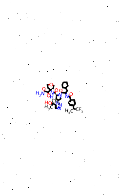 CC(c1ccc(C(=O)/N=C(\CC2CCCCC2)C(=O)N2C[C@@H](n3nncc3C(C)(C)O)C[C@H]2C(=O)NC2(C(=O)C(N)=O)CCOCC2)cc1)C(F)(F)F